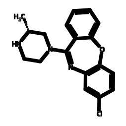 C[C@@H]1CN(C2=Nc3cc(Cl)ccc3Oc3ccccc32)CCN1